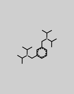 CC(C)P(Cc1cccc(CP(C(C)C)C(C)C)c1)C(C)C